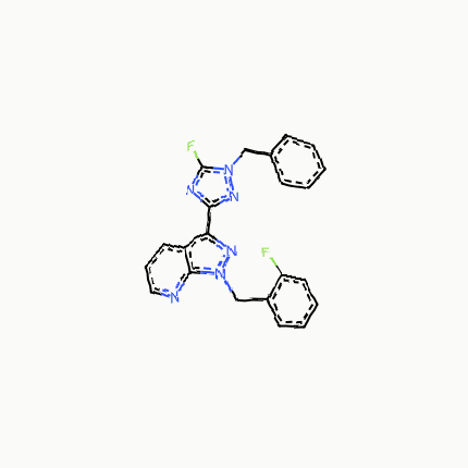 Fc1ccccc1Cn1nc(-c2nc(F)n(Cc3ccccc3)n2)c2cccnc21